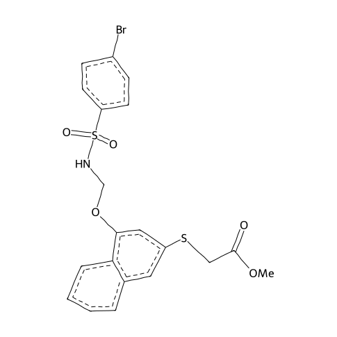 COC(=O)CSc1cc(OCNS(=O)(=O)c2ccc(Br)cc2)c2ccccc2c1